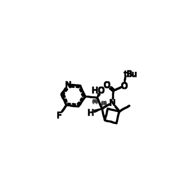 CC(C)(C)OC(=O)N1[C@@H]([C@H](O)c2cncc(F)c2)C2CC1(C)C2